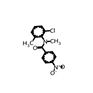 Cc1cccc(Cl)c1N(C)C(=O)c1ccc([N+](=O)[O-])cc1